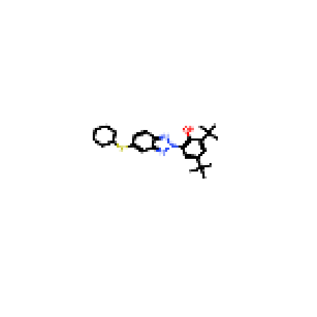 CC(C)(C)c1cc(-n2nc3ccc(SC4CCCCC4)cc3n2)c(O)c(C(C)(C)C)c1